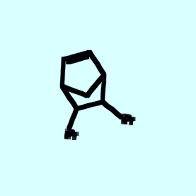 CC(C)C1C2C=CC(C2)C1C(C)C